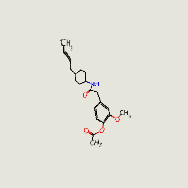 CC=CCC1CCC(NC(=O)Cc2ccc(OC(C)=O)c(OC)c2)CC1